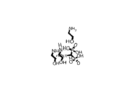 CCCCCCCCC(P(=O)(O)O)P(=O)(O)O.NCCO.NCCO.NCCO